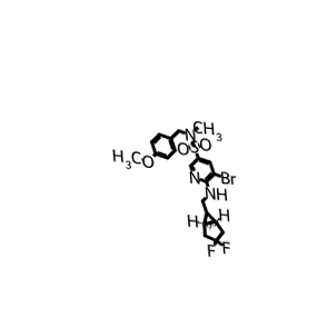 COc1ccc(CN(C)S(=O)(=O)c2cnc(NCC3[C@H]4CC(F)(F)C[C@@H]34)c(Br)c2)cc1